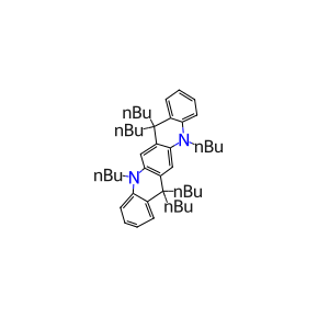 CCCCN1c2ccccc2C(CCCC)(CCCC)c2cc3c(cc21)C(CCCC)(CCCC)c1ccccc1N3CCCC